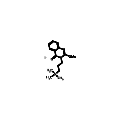 CSc1nc2ccccc2c(=O)n1CCC[N+](C)(C)C.[I-]